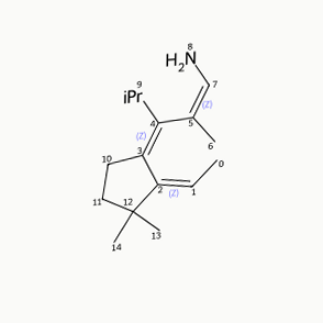 C\C=C1/C(=C(\C(C)=C/N)C(C)C)CCC1(C)C